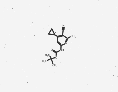 Cc1nc(NC(=O)OC(C)(C)C)cc(C2CC2)c1C#N